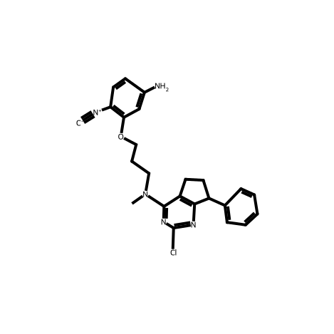 [C-]#[N+]c1ccc(N)cc1OCCCN(C)c1nc(Cl)nc2c1CCC2c1ccccc1